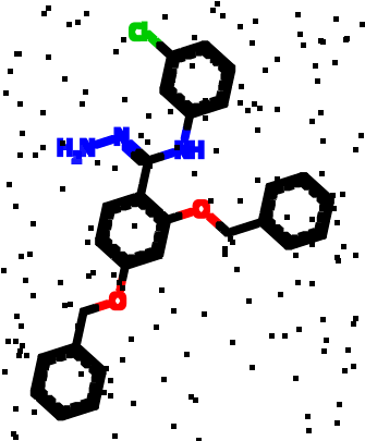 NN=C(Nc1cccc(Cl)c1)c1ccc(OCc2ccccc2)cc1OCc1ccccc1